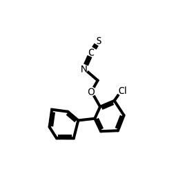 S=C=NCOc1c(Cl)cccc1-c1ccccc1